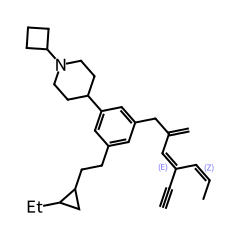 C#CC(/C=C\C)=C/C(=C)Cc1cc(CCC2CC2CC)cc(C2CCN(C3CCC3)CC2)c1